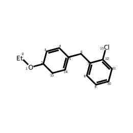 CCOC1C=CC(Cc2ccccc2Cl)=CC1